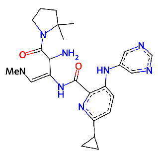 CN/C=C(/NC(=O)c1nc(C2CC2)ccc1Nc1cncnc1)C(N)C(=O)N1CCCC1(C)C